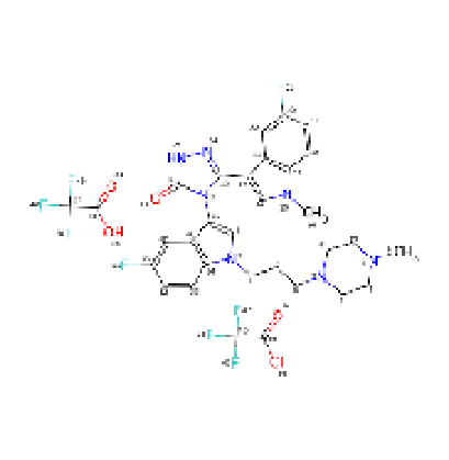 CN1CCN(CCCn2cc(-n3c(-c4cn(C)c5ccc(F)cc45)n[nH]c3=O)c3cc(F)ccc32)CC1.O=C(O)C(F)(F)F.O=C(O)C(F)(F)F